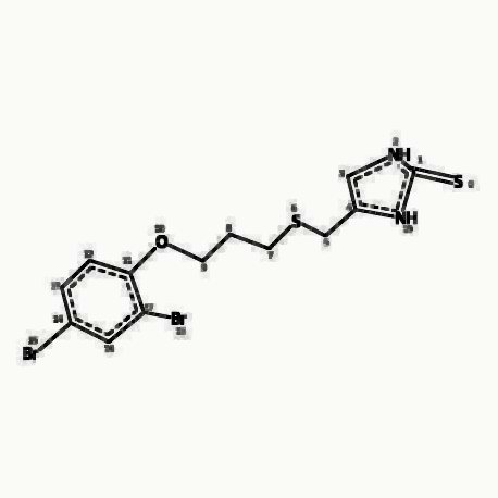 S=c1[nH]cc(CSCCCOc2ccc(Br)cc2Br)[nH]1